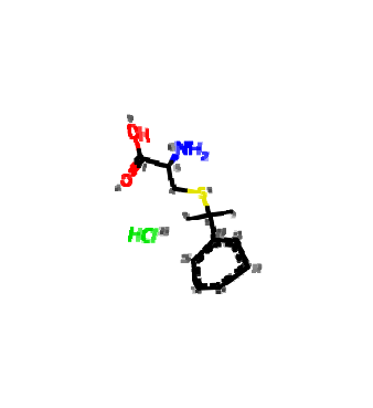 CC(C)(SC[C@H](N)C(=O)O)c1ccccc1.Cl